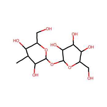 CC1C(O)C(CO)OC(OC2OC(CO)C(O)C(O)C2O)C1O